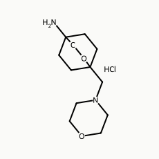 Cl.NC12CCC(CN3CCOCC3)(CC1)OC2